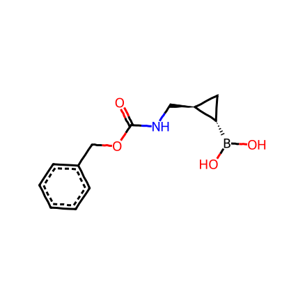 O=C(NC[C@H]1C[C@@H]1B(O)O)OCc1ccccc1